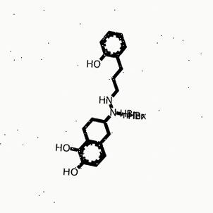 Br.Br.CCCCCCN(NCCCc1ccccc1O)C1CCc2c(ccc(O)c2O)C1